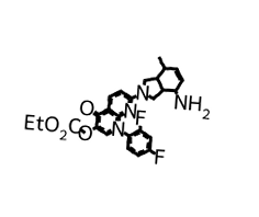 CCOC(=O)Oc1cn(-c2ccc(F)cc2F)c2nc(N3CC4C(C)C=CC(N)C4C3)ccc2c1=O